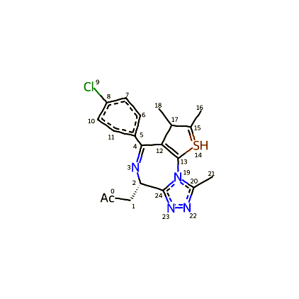 CC(=O)C[C@@H]1N=C(c2ccc(Cl)cc2)C2=C([SH]=C(C)C2C)n2c(C)nnc21